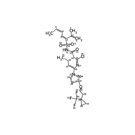 C=C(C)/C(=C\C=C/C)S(=O)(=O)NC(=O)C/C(Cl)=N\C(=C/CC)n1ccc(OCCC2(C(F)(F)F)CC2)n1